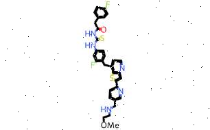 COCCNCc1ccc(-c2cc3nccc(Cc4ccc(NC(=S)NC(=O)Cc5ccc(F)cc5)cc4F)c3s2)nc1